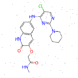 CNC(=O)COc1cc2cc(Nc3nc(N4CCCCC4)ncc3Cl)ccc2[nH]c1=O